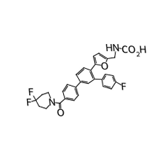 O=C(O)NCc1ccc(-c2ccc(-c3ccc(C(=O)N4CCC(F)(F)CC4)cc3)cc2-c2ccc(F)cc2)o1